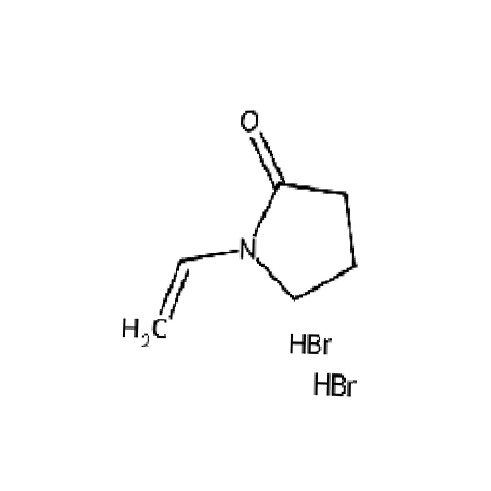 Br.Br.C=CN1CCCC1=O